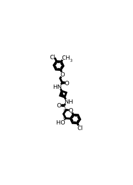 Cc1cc(OCC(=O)NC23CC(NC(=O)[C@H]4C[C@H](O)c5cc(Cl)ccc5O4)(C2)C3)ccc1Cl